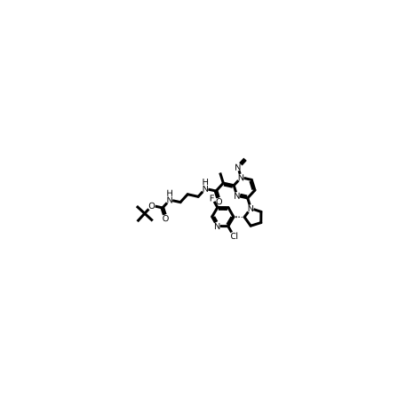 C=NN1C=CC(N2CCC[C@@H]2c2cc(F)cnc2Cl)=N/C1=C(/C)C(=O)NCCCNC(=O)OC(C)(C)C